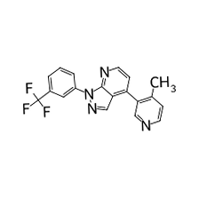 Cc1ccncc1-c1ccnc2c1cnn2-c1cccc(C(F)(F)F)c1